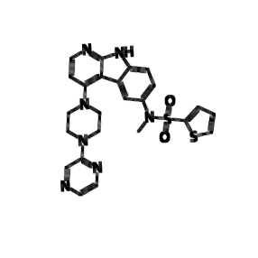 CN(c1ccc2[nH]c3nccc(N4CCN(c5cnccn5)CC4)c3c2c1)S(=O)(=O)c1cccs1